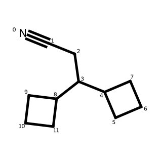 N#CCC(C1CCC1)C1CCC1